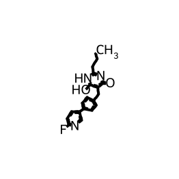 CCCCc1nc(=O)c(Cc2ccc(-c3ccc(F)nc3)cc2)c(O)[nH]1